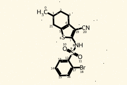 CC1CCc2c(sc(NS(=O)(=O)c3ccccc3Br)c2C#N)C1